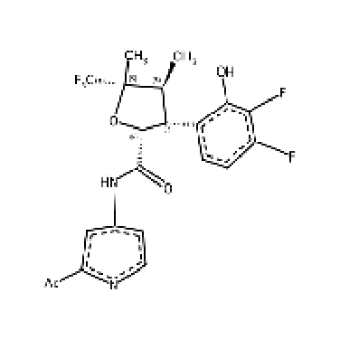 CC(=O)c1cc(NC(=O)[C@@H]2O[C@](C)(C(F)(F)F)[C@@H](C)[C@@H]2c2ccc(F)c(F)c2O)ccn1